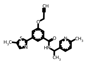 C#CCOc1cc(C(=O)NC(C)c2ccc(C)nc2)cc(-c2ncc(C)s2)c1